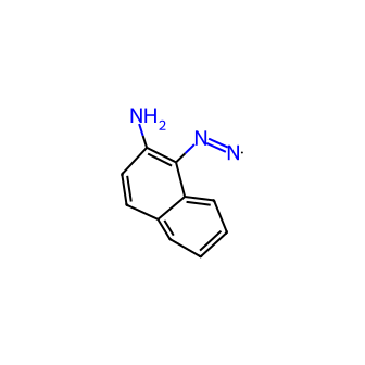 [N]=Nc1c(N)ccc2ccccc12